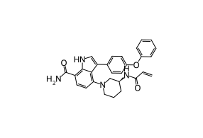 C=CC(=O)N[C@H]1CCCN(c2ccc(C(N)=O)c3[nH]cc(-c4ccc(Oc5ccccc5)cc4)c23)C1